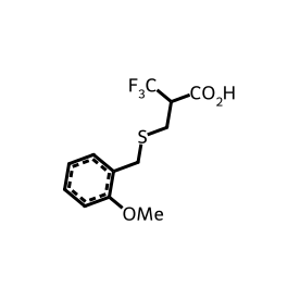 COc1ccccc1CSCC(C(=O)O)C(F)(F)F